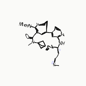 C=N/C(=C\C=N/C)Nc1cc(-c2cnc(NC)c(C(=O)N(C)C34CC(C3)C4)c2)ccn1